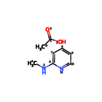 CC(=O)O.CNc1ccccn1